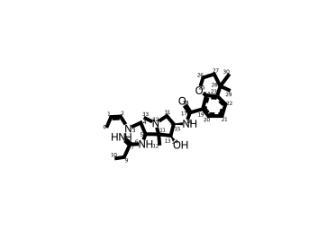 C/C=C\NCC(NC(=N)CC)C1(C)[C@H](O)[C@H](NC(=O)c2cccc3c2OCCC3(C)C)CN1C